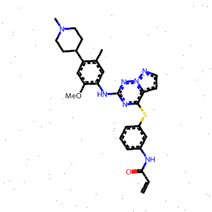 C=CC(=O)Nc1cccc(Sc2nc(Nc3cc(C)c(C4CCN(C)CC4)cc3OC)nn3nccc23)c1